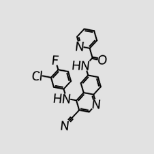 N#Cc1cnc2ccc(NC(=O)c3ccccn3)cc2c1Nc1ccc(F)c(Cl)c1